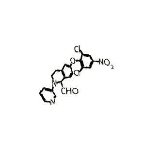 O=CC1c2ccc(Oc3c(Cl)cc([N+](=O)[O-])cc3Cl)cc2CCN1c1cccnc1